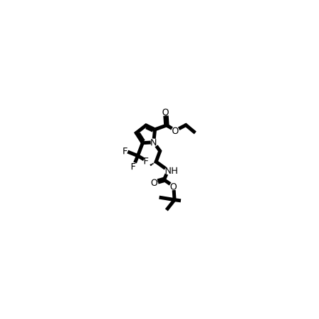 CCOC(=O)c1ccc(C(F)(F)F)n1C[C@@H](C)NC(=O)OC(C)(C)C